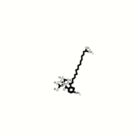 CC(C)CCCCCCCCCCCCCCC(=O)c1cc(N)ccc1C(=O)[O][Ti](=[O])([O]C(C)C)[CH](C)C